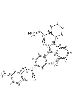 C=CC(=O)N1CCCC[C@H]1c1nc(-c2ccc(C(=O)Nc3cc(C)ccn3)cc2)c2c(C)nccn12